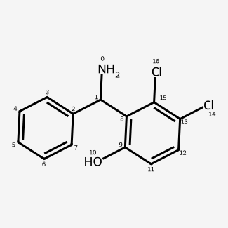 NC(c1ccccc1)c1c(O)ccc(Cl)c1Cl